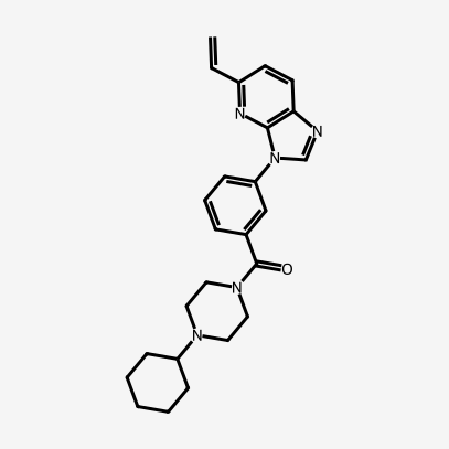 C=Cc1ccc2ncn(-c3cccc(C(=O)N4CCN(C5CCCCC5)CC4)c3)c2n1